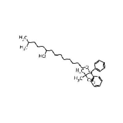 CC(C)CCCC(O)CCCCCCCCO[Si](c1ccccc1)(c1ccccc1)C(C)(C)C